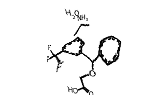 CCC.N.O.O=C(O)COC(c1ccccc1)c1cccc(C(F)(F)F)c1